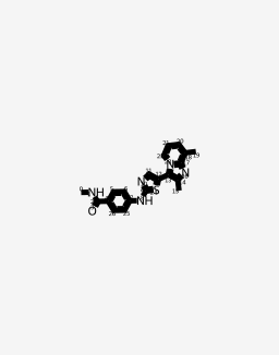 CNC(=O)c1ccc(Nc2ncc(-c3c(C)nc4c(C)cccn34)s2)cc1